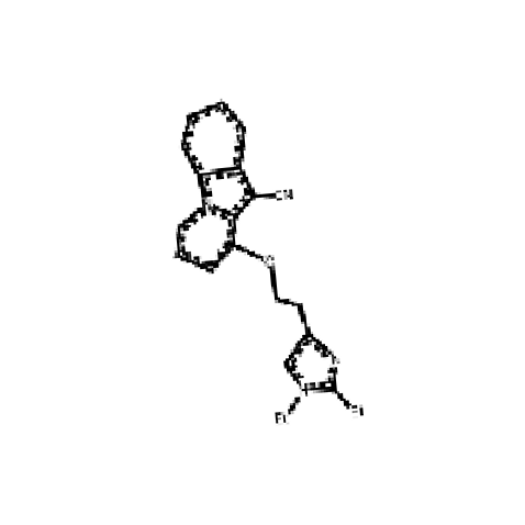 CCc1nc(CCOc2c[c]cn3c2c(C#N)c2ccccc23)cn1CC